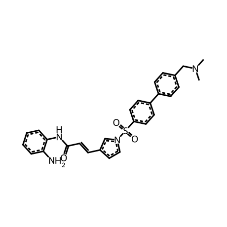 CN(C)Cc1ccc(-c2ccc(S(=O)(=O)n3ccc(C=CC(=O)Nc4ccccc4N)c3)cc2)cc1